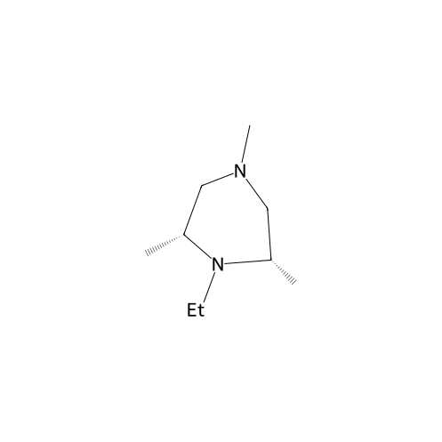 CCN1[C@H](C)CN(C)C[C@@H]1C